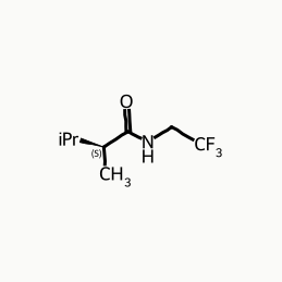 CC(C)[C@H](C)C(=O)NCC(F)(F)F